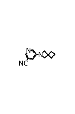 N#Cc1cncc(N2CC3(CCC3)C2)c1